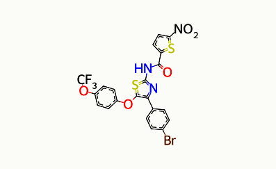 O=C(Nc1nc(-c2ccc(Br)cc2)c(Oc2ccc(OC(F)(F)F)cc2)s1)c1ccc([N+](=O)[O-])s1